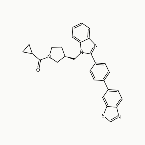 O=C(C1CC1)N1CC[C@@H](Cn2c(-c3ccc(-c4ccc5ncsc5c4)cc3)nc3ccccc32)C1